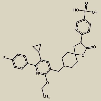 CCOc1nc(-c2ccc(F)cc2)c(C2CC2)cc1CN1CCC2(CC1)CN(c1ccc(P(=O)(O)O)cc1)C(=O)O2